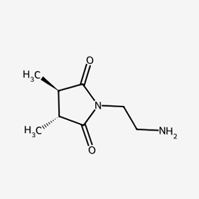 C[C@H]1C(=O)N(CCN)C(=O)[C@@H]1C